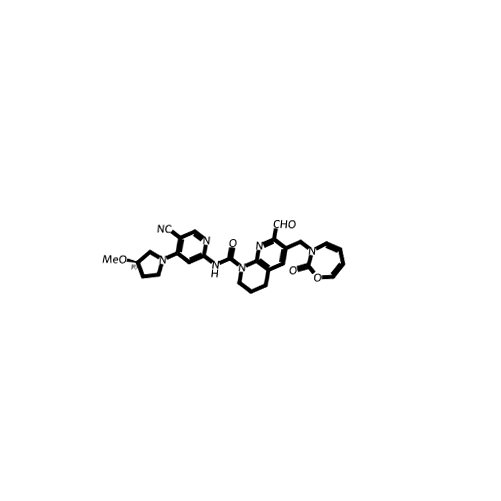 CO[C@@H]1CCN(c2cc(NC(=O)N3CCCc4cc(CN5C=CC=COC5=O)c(C=O)nc43)ncc2C#N)C1